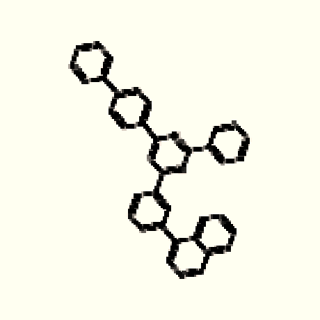 c1ccc(-c2ccc(-c3cc(-c4cccc(-c5cccc6ccccc56)c4)nc(-c4cccnc4)n3)cc2)cc1